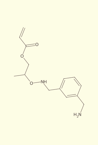 C=CC(=O)OCC(C)ONCc1cccc(CN)c1